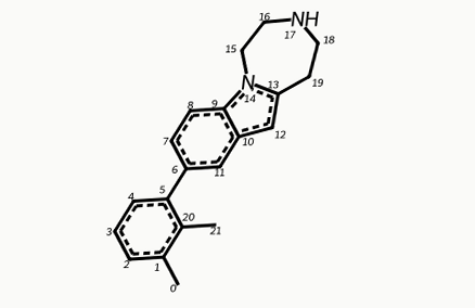 Cc1cccc(-c2ccc3c(c2)cc2n3CCNCC2)c1C